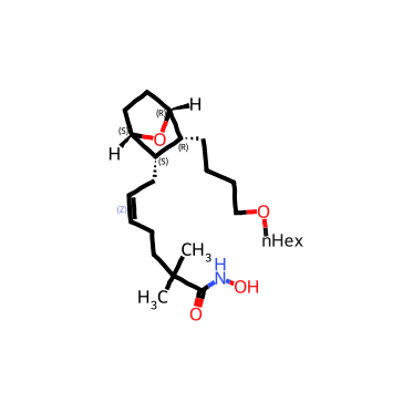 CCCCCCOCCCC[C@@H]1[C@H](C/C=C\CCC(C)(C)C(=O)NO)[C@@H]2CC[C@H]1O2